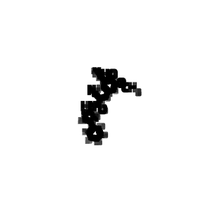 COc1cc(/C=C(\C#N)C(=O)Nc2nc(-c3ccccc3)cs2)cc(C#N)c1O